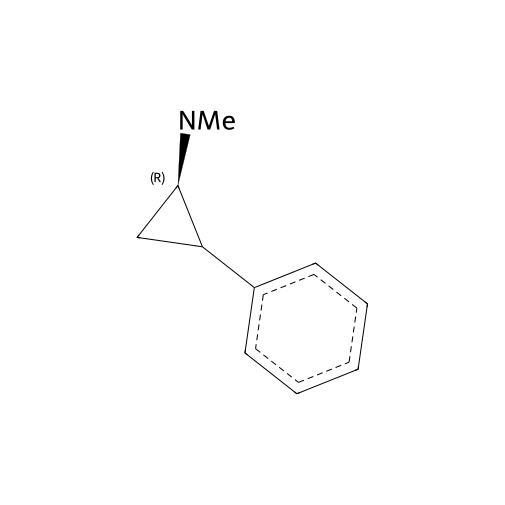 CN[C@@H]1CC1c1ccccc1